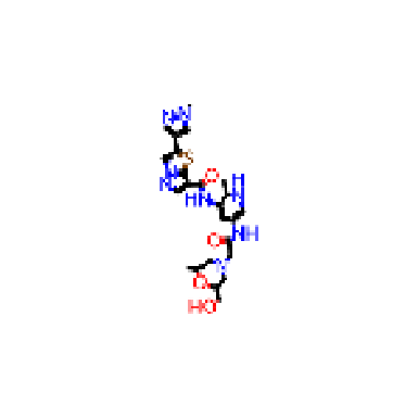 CC1CN(CC(=O)NC2=CNC(C)C(NC(=O)c3cnn4cc(-c5cnn(C)c5)sc34)=C2)CC(CO)O1